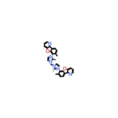 Cc1ccc2c(oc3cccnc32)c1N1C=CN(CN2C=CN(c3c(C)ccc4c3oc3cccnc34)[C@H]2C)[C@H]1C